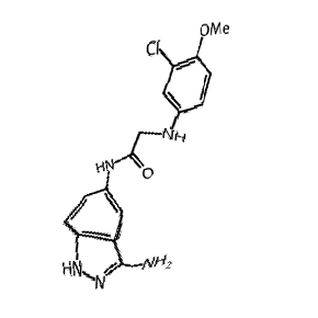 COc1ccc(NCC(=O)Nc2ccc3[nH]nc(N)c3c2)cc1Cl